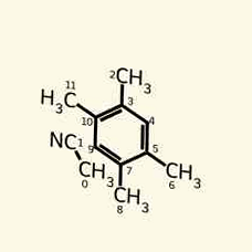 CC#N.Cc1cc(C)c(C)cc1C